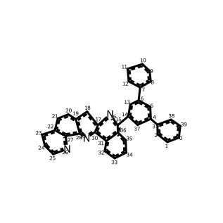 c1ccc(-c2cc(-c3ccccc3)cc(-c3nc4cc5ccc6cccnc6c5nc4c4ccccc34)c2)cc1